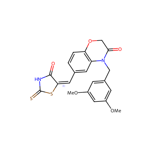 COc1cc(CN2C(=O)COc3ccc(/C=C4/SC(=S)NC4=O)cc32)cc(OC)c1